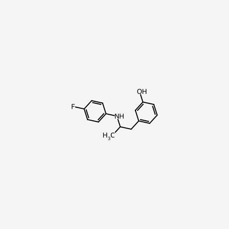 CC(Cc1cccc(O)c1)Nc1ccc(F)cc1